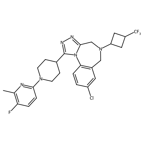 Cc1nc(N2CCC(c3nnc4n3-c3ccc(Cl)cc3CN(C3CC(C(F)(F)F)C3)C4)CC2)ccc1F